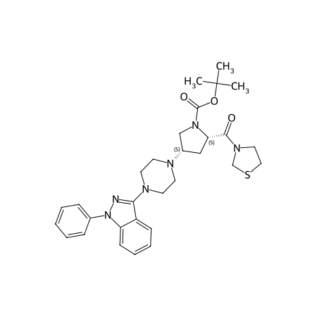 CC(C)(C)OC(=O)N1C[C@@H](N2CCN(c3nn(-c4ccccc4)c4ccccc34)CC2)C[C@H]1C(=O)N1CCSC1